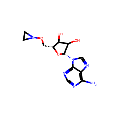 Nc1ncnc2c1ncn2[C@@H]1O[C@H](CON2CC2)C(O)C1O